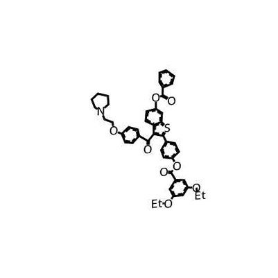 CCOc1cc(OCC)cc(C(=O)Oc2ccc(-c3sc4cc(OC(=O)c5ccccc5)ccc4c3C(=O)c3ccc(OCCN4CCCCC4)cc3)cc2)c1